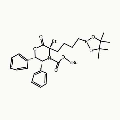 CCCCOC(=O)N1[C@H](c2ccccc2)[C@H](c2ccccc2)OC(=O)[C@]1(CC)CCCCB1OC(C)(C)C(C)(C)O1